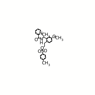 COc1ccc(CCOS(=O)(=O)c2ccc(C)cc2)c(C(C)NC(=O)c2ccccn2)c1